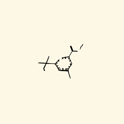 COC(=O)c1cc(Br)cc(C(C)(C)C)n1